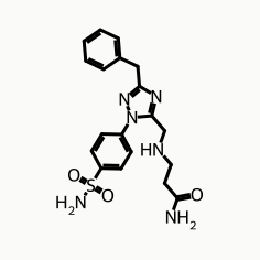 NC(=O)CCNCc1nc(Cc2ccccc2)nn1-c1ccc(S(N)(=O)=O)cc1